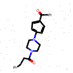 CC(C)CCC(=O)N1CCN(c2ccc(C(=O)C(C)C)cc2)CC1